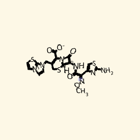 CO/N=C(\C(=O)N[C@@H]1C(=O)N2C(C(=O)[O-])=C(Cn3cc[n+]4ccsc34)CS[C@@H]12)c1csc(N)n1